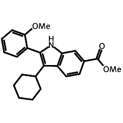 COC(=O)c1ccc2c(C3CCCCC3)c(-c3ccccc3OC)[nH]c2c1